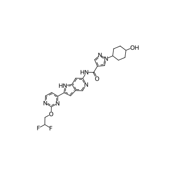 O=C(Nc1cc2[nH]c(-c3ccnc(OCC(F)F)n3)cc2cn1)c1cnn(C2CCC(O)CC2)c1